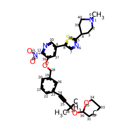 CN1CCC(c2ncc(-c3cnc([N+](=O)[O-])c(OCc4cccc(C#CC(C)(C)OC5CCCCO5)c4)c3)s2)CC1